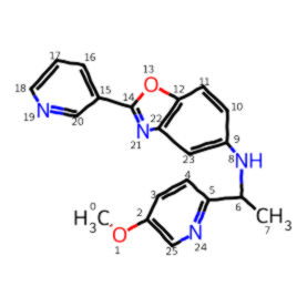 COc1ccc(C(C)Nc2ccc3oc(-c4cccnc4)nc3c2)nc1